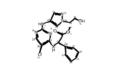 COC(=O)C(Nc1nc(Nc2cnn(CCO)c2)ncc1Cl)c1ccccc1